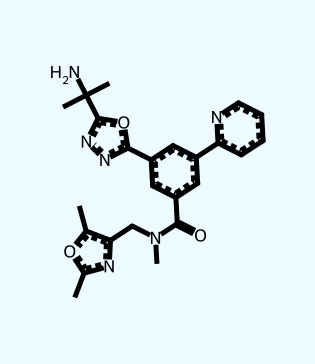 Cc1nc(CN(C)C(=O)c2cc(-c3ccccn3)cc(-c3nnc(C(C)(C)N)o3)c2)c(C)o1